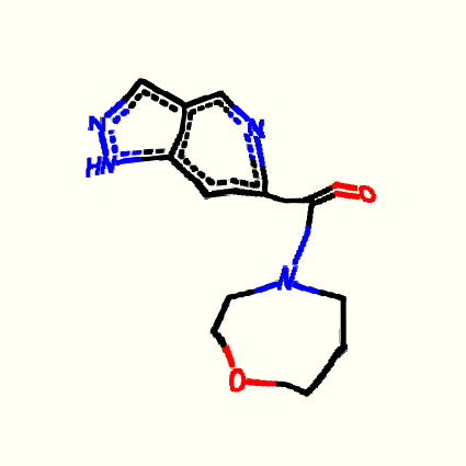 O=C(c1cc2[nH]ncc2cn1)N1CCCOCC1